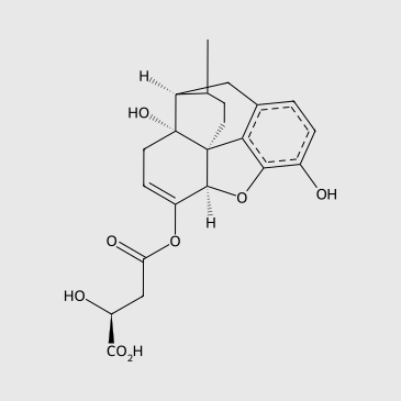 CC1CC[C@]23c4c5ccc(O)c4O[C@H]2C(OC(=O)C[C@H](O)C(=O)O)=CC[C@@]3(O)[C@H]1C5